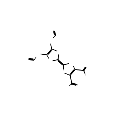 O=COC1=C(OC=O)SC(=C2SC(C(=O)O)=C(C(=O)O)S2)S1